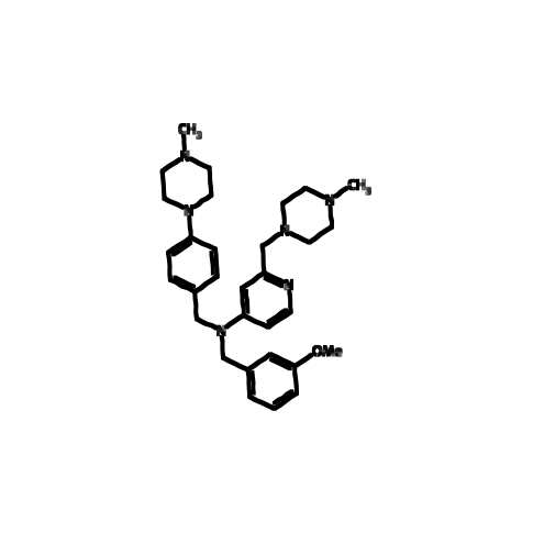 COc1cccc(CN(Cc2ccc(N3CCN(C)CC3)cc2)c2ccnc(CN3CCN(C)CC3)c2)c1